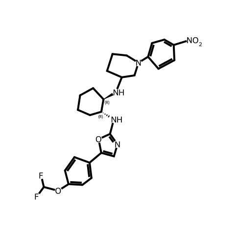 O=[N+]([O-])c1ccc(N2CCCC(N[C@@H]3CCCC[C@H]3Nc3ncc(-c4ccc(OC(F)F)cc4)o3)C2)cc1